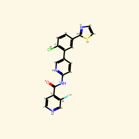 O=C(Nc1ccc(-c2cc(-c3nccs3)ccc2Cl)cn1)c1ccncc1F